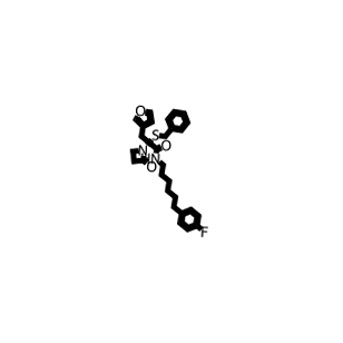 O=C1CCN1C(Cc1ccoc1)(SCc1ccccc1)C(=O)NCCCCCCc1ccc(F)cc1